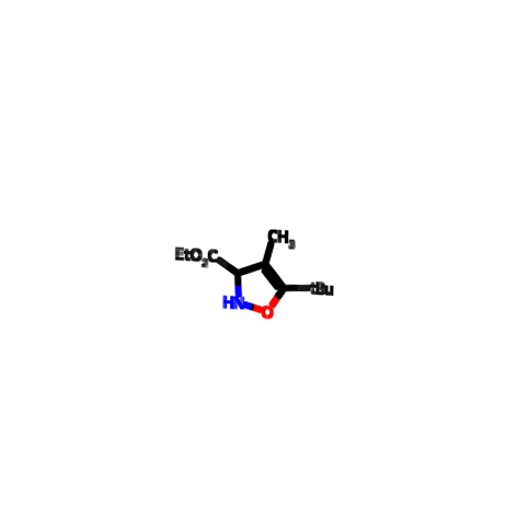 CCOC(=O)C1NOC(C(C)(C)C)=C1C